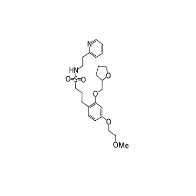 COCCOc1ccc(CCCS(=O)(=O)NCCc2ccccn2)c(OCC2CCCO2)c1